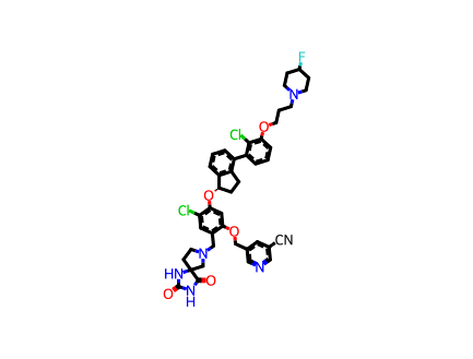 N#Cc1cncc(COc2cc(O[C@H]3CCc4c(-c5cccc(OCCCN6CCC(F)CC6)c5Cl)cccc43)c(Cl)cc2CN2CCC3(C2)NC(=O)NC3=O)c1